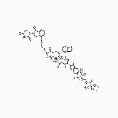 CN(CCCC#Cc1cccc2c1CN(C1CCC(=O)NC1=O)C2=O)C(=O)CCN(C(=O)[C@@H]1CCCN1C(=O)C(NC(=O)c1cc2cc(C(F)(F)P(=O)(O)OCOC(=O)C(C)(C)C)ccc2s1)C(C)(C)C)c1ccc2occc2c1